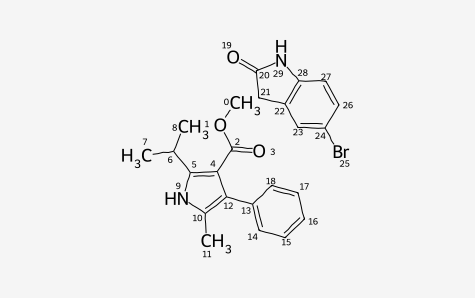 COC(=O)c1c(C(C)C)[nH]c(C)c1-c1ccccc1.O=C1Cc2cc(Br)ccc2N1